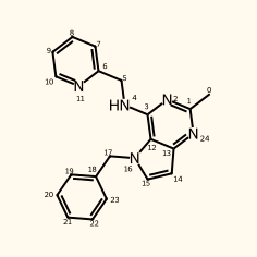 Cc1nc(NCc2ccccn2)c2c(ccn2Cc2ccccc2)n1